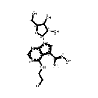 CC(C)CCNc1ncnc2c1c(/C(N)=N/O)cn2[C@@H]1OC(CO)C(O)[C@H]1O